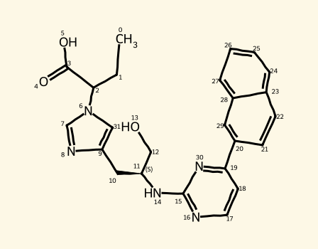 CCC(C(=O)O)n1cnc(C[C@@H](CO)Nc2nccc(-c3ccc4ccccc4c3)n2)c1